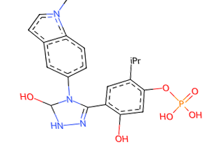 CC(C)c1cc(C2=NNC(O)N2c2ccc3c(ccn3C)c2)c(O)cc1OP(=O)(O)O